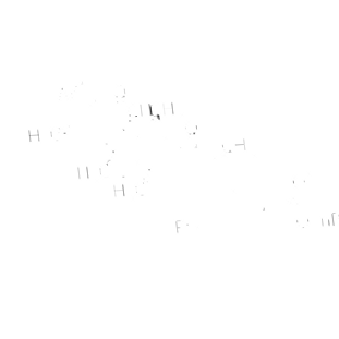 CCCCOC(=O)/C=C/c1cc(C(C)C)c2c(c1C)C(=O)C1=C(C)C3(C)C(=O)C(C(C)=O)=C(C)CC3(C)CC1(C)C2